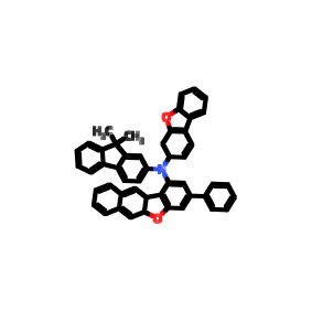 CC1(C)c2ccccc2-c2ccc(N(c3cc(-c4ccccc4)cc4c3C3C=c5ccccc5=CC3O4)C3C=Cc4c(oc5ccccc45)C3)cc21